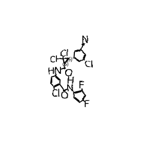 N#Cc1cc(Cl)cc([C@@H]2[C@@H](C(=O)Nc3ccc(Cl)c(C(=O)Nc4ccc(F)cc4F)c3)C2(Cl)Cl)c1